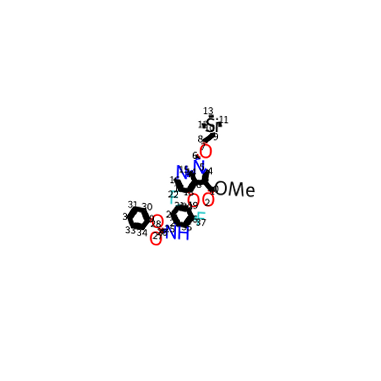 COC(=O)c1cn(COCC[Si](C)(C)C)c2nccc(Oc3c(F)cc(NC(=O)Oc4ccccc4)cc3F)c12